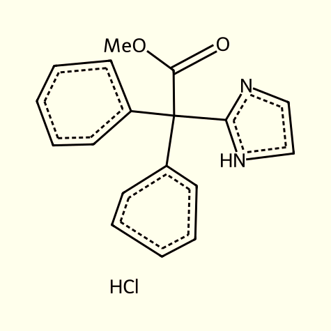 COC(=O)C(c1ccccc1)(c1ccccc1)c1ncc[nH]1.Cl